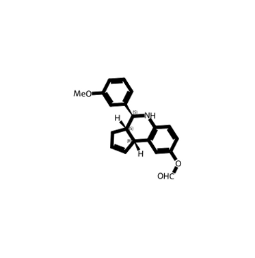 COc1cccc([C@H]2Nc3ccc(OC=O)cc3[C@@H]3C=CC[C@H]23)c1